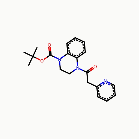 CC(C)(C)OC(=O)N1CCN(C(=O)Cc2ccccn2)c2ccccc21